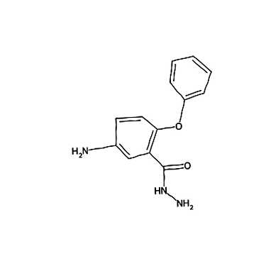 NNC(=O)c1cc(N)ccc1Oc1ccccc1